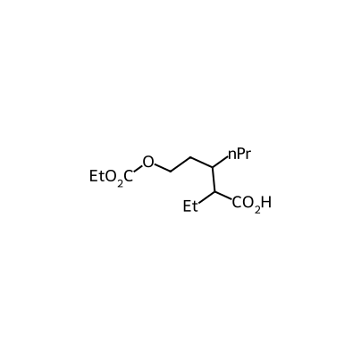 CCCC(CCOC(=O)OCC)C(CC)C(=O)O